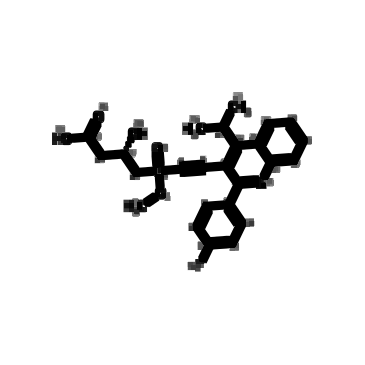 COP(=O)(C#Cc1c(-c2ccc(F)cc2)nc2ccccc2c1C(C)C)C[C@@H](O)CC(=O)O